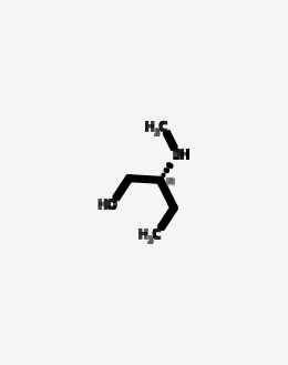 CB[C@H](CC)CO